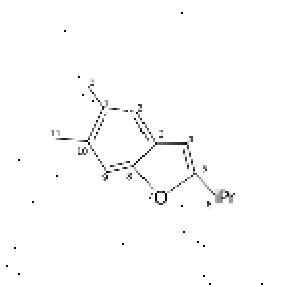 Cc1cc2cc(C(C)C)oc2cc1C